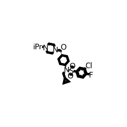 CC(C)N1CCN(C(=O)[C@H]2CC[C@H](N(CC3CC3)S(=O)(=O)c3ccc(F)c(Cl)c3)CC2)CC1